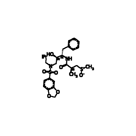 CC(C)CN(C[C@@H](O)[C@H](Cc1ccccc1)NC(=O)[C@H](C)C[S+](C)[O-])S(=O)(=O)c1ccc2c(c1)OCO2